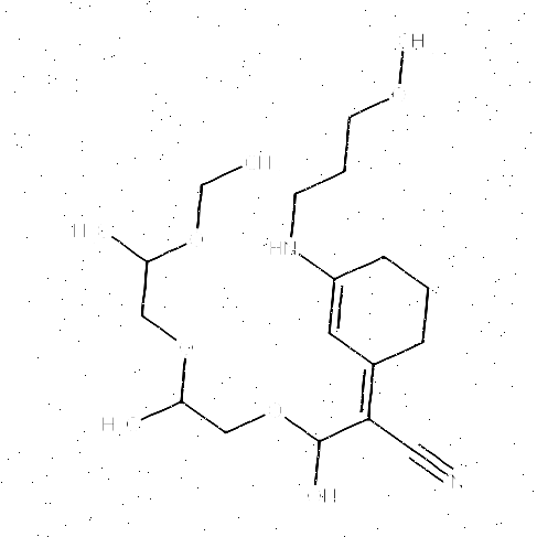 CCOC(C)COC(C)COC(O)/C(C#N)=C1\C=C(NCCCOC)CCC1